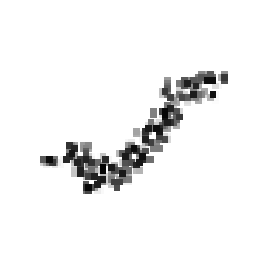 CCC[C@@H](CN1CCC[C@H]1c1ncc(-c2ccc(-c3ccc(-c4cnc(C5CCCN5C(=O)[C@H](C)NC(=O)OC)[nH]4)cc3)cc2)[nH]1)NC(=O)O